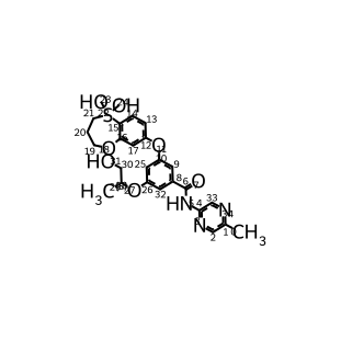 Cc1cnc(NC(=O)c2cc(Oc3ccc4c(c3)OCCCS4(O)O)cc(O[C@@H](C)CO)c2)cn1